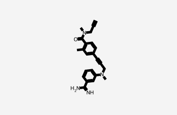 C#CCN(C)C(=O)c1ccc(C#CCN(C)c2cccc(C(=N)N)c2)cc1C